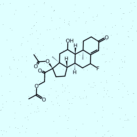 CC(=O)OCC(=O)[C@@]1(OC(C)=O)CC[C@H]2[C@@H]3CC(F)C4=CC(=O)CC[C@]4(C)[C@H]3C(O)C[C@@]21C